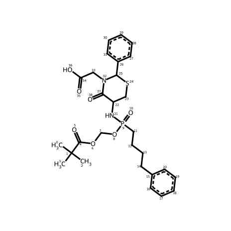 CC(C)(C)C(=O)OCOP(=O)(CCCCc1ccccc1)NC1CSC(c2ccccc2)N(CC(=O)O)C1=O